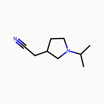 CC(C)N1CCC(CC#N)C1